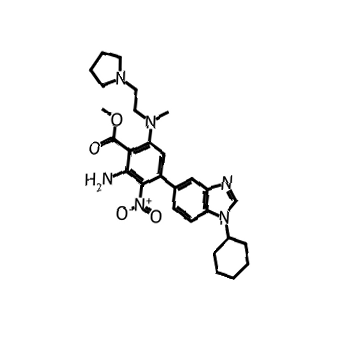 COC(=O)c1c(N(C)CCN2CCCC2)cc(-c2ccc3c(c2)ncn3C2CCCCC2)c([N+](=O)[O-])c1N